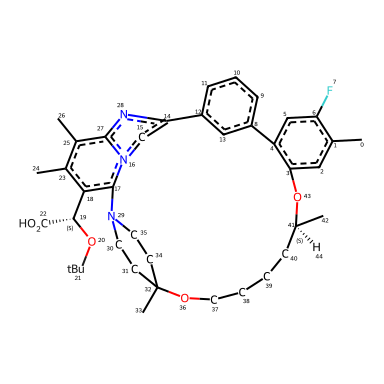 Cc1cc2c(cc1F)-c1cccc(c1)-c1cn3c(c([C@H](OC(C)(C)C)C(=O)O)c(C)c(C)c3n1)N1CCC(C)(CC1)OCCCC[C@H](C)O2